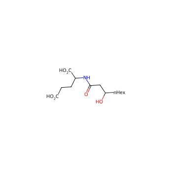 CCCCCCC(O)CC(=O)NC(CCC(=O)O)C(=O)O